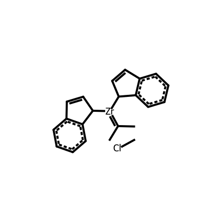 CCl.C[C](C)=[Zr]([CH]1C=Cc2ccccc21)[CH]1C=Cc2ccccc21